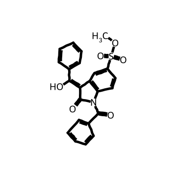 COS(=O)(=O)c1ccc2c(c1)/C(=C(/O)c1ccccc1)C(=O)N2C(=O)c1ccccc1